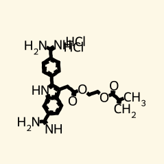 C=C(C)C(=O)OCCOC(=O)Cc1c(-c2ccc(C(=N)N)cc2)[nH]c2cc(C(=N)N)ccc12.Cl.Cl